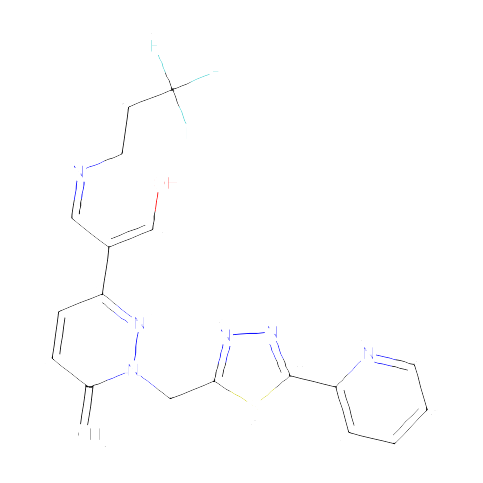 C=C1C=CC(C(/C=N\CCC(F)(F)F)=C/O)=NN1Cc1nnc(-c2ccccn2)s1